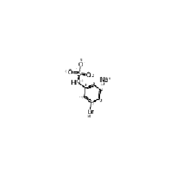 O=S(=O)([O-])Nc1cccc(Br)c1.[Na+]